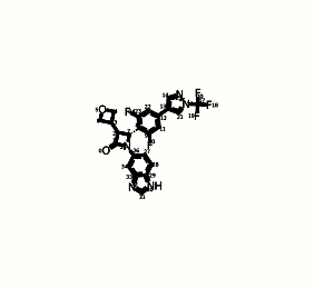 O=C1C(C2COC2)[C@H](c2c(F)cc(-c3cnn(C(F)(F)F)c3)cc2F)N1c1ccc2[nH]cnc2c1